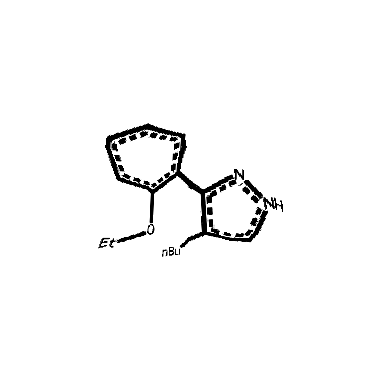 CCCCc1c[nH]nc1-c1ccccc1OCC